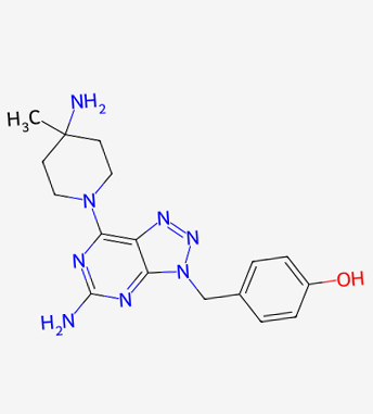 CC1(N)CCN(c2nc(N)nc3c2nnn3Cc2ccc(O)cc2)CC1